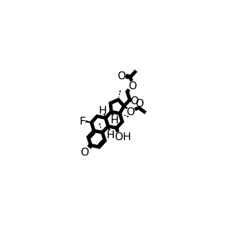 CC(=O)OCC(=O)[C@@]1(OC(C)=O)[C@@H](C)C[C@H]2[C@@H]3C[C@H](F)C4=CC(=O)C=C[C@]4(C)[C@H]3C(O)C[C@@]21C